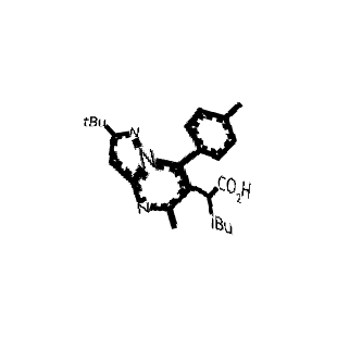 CCC(C)C(C(=O)O)c1c(C)nc2cc(C(C)(C)C)nn2c1-c1ccc(C)cc1